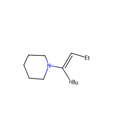 CCC=C(CCCC)N1CCCCC1